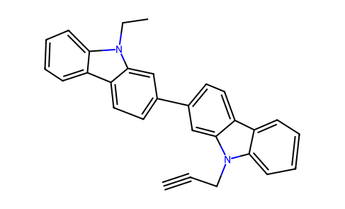 C#CCn1c2ccccc2c2ccc(-c3ccc4c5ccccc5n(CC)c4c3)cc21